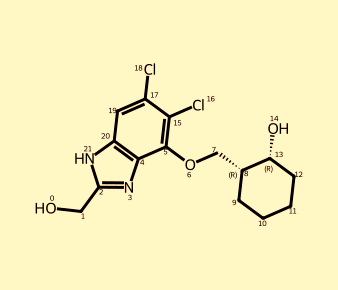 OCc1nc2c(OC[C@H]3CCCC[C@H]3O)c(Cl)c(Cl)cc2[nH]1